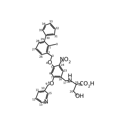 Cc1c(COc2cc(OCc3cccnc3)c(CNC(CO)C(=O)O)cc2[N+](=O)[O-])cccc1-c1ccccc1